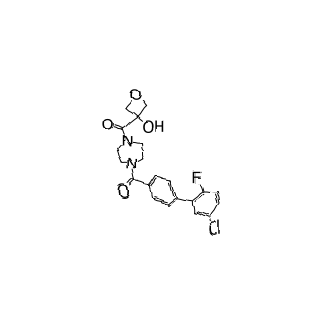 O=C(c1ccc(-c2cc(Cl)ccc2F)cc1)N1CCN(C(=O)C2(O)COC2)CC1